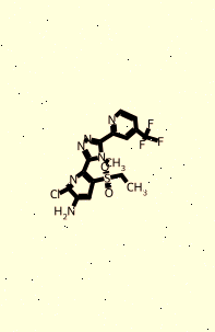 CCS(=O)(=O)c1cc(N)c(Cl)nc1-c1nnc(-c2cc(C(F)(F)F)ccn2)n1C